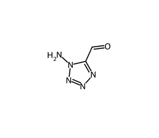 Nn1nnnc1C=O